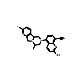 CC1CN(c2ccc(C#N)c3nc(O)ccc23)CC2c3ccc(Cl)nc3CN12